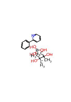 CC(C)(O)C(C)(C)O.OB(O)O.c1ccc(-c2ccccn2)cc1